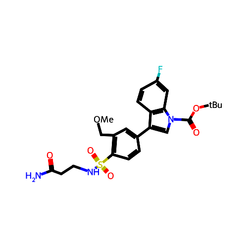 COCc1cc(-c2cn(C(=O)OC(C)(C)C)c3cc(F)ccc23)ccc1S(=O)(=O)NCCC(N)=O